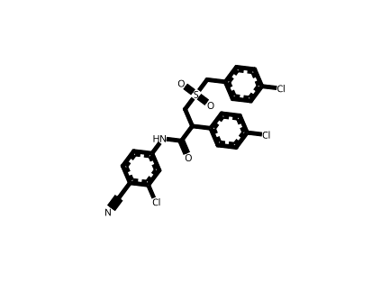 N#Cc1ccc(NC(=O)C(CS(=O)(=O)Cc2ccc(Cl)cc2)c2ccc(Cl)cc2)cc1Cl